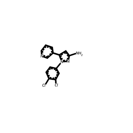 Nc1cc(-c2cccnc2)n(-c2ccc(Cl)c(Cl)c2)n1